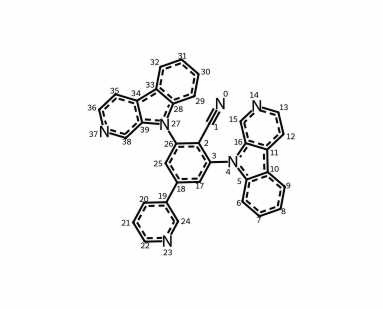 N#Cc1c(-n2c3ccccc3c3ccncc32)cc(-c2cccnc2)cc1-n1c2ccccc2c2ccncc21